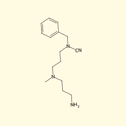 CN(CCCN)CCCN(C#N)Cc1ccccc1